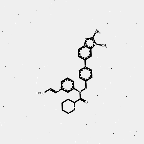 Cc1nc2ccc(-c3ccc(CN(C(=O)C4CCCCC4)c4cccc(C=CC(=O)O)c4)cc3)cc2n1C